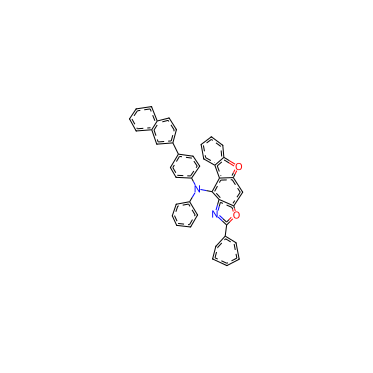 c1ccc(-c2nc3c(N(c4ccccc4)c4ccc(-c5ccc6ccccc6c5)cc4)c4c(cc3o2)oc2ccccc24)cc1